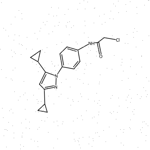 O=C(CCl)Nc1ccc(-n2nc(C3CC3)cc2C2CC2)cc1